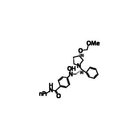 CCCNC(=O)c1ccc(N(O)C[C@@H](c2ccccc2)N2CC[C@H](OCOC)C2)cc1